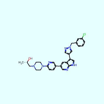 C[C@H](O)CN1CCN(c2ccc(-c3cnc4[nH]cc(-c5cnn(Cc6cccc(Cl)c6)c5)c4c3)cn2)CC1